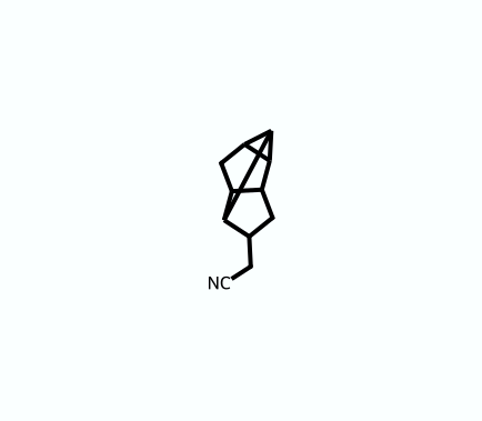 N#CCC1CC2C3CC4C2C4C13